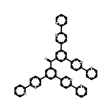 O=C(c1cc(-c2ccc(-c3ccccn3)nc2)cc(-c2ccc(-c3ccccn3)nc2)c1)c1cc(-c2ccc(-c3ccccn3)nc2)cc(-c2ccc(-c3ccccn3)nc2)c1